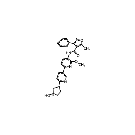 COc1nc(-c2ccc(N3CC[C@@H](O)C3)nc2)ccc1NC(=O)c1c(-c2ccccc2)noc1C